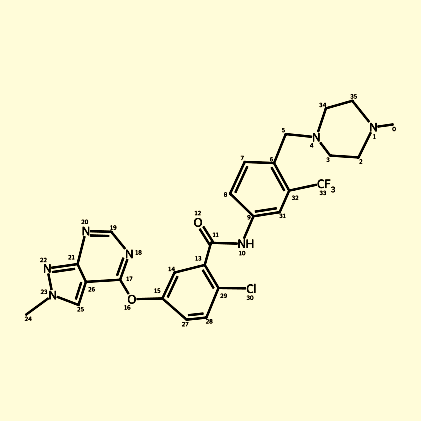 CN1CCN(Cc2ccc(NC(=O)c3cc(Oc4ncnc5nn(C)cc45)ccc3Cl)cc2C(F)(F)F)CC1